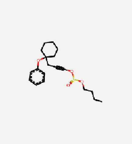 CCCCOS(=O)OC#CCC1(Oc2ccccc2)CCCCC1